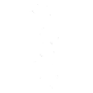 CC(=O)N[C@@H](CCP(=O)(O)O)C(=O)N1CCC(c2cccnc2)CC1